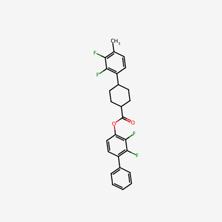 Cc1ccc(C2CCC(C(=O)Oc3ccc(-c4ccccc4)c(F)c3F)CC2)c(F)c1F